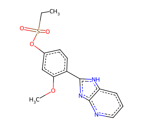 CCS(=O)(=O)Oc1ccc(-c2nc3ncccc3[nH]2)c(OC)c1